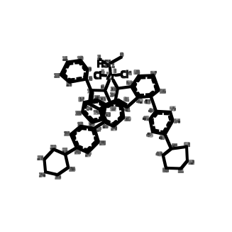 C[SiH](C)[Zr]([Cl])([Cl])([CH]1C(c2ccccc2)=Cc2c(-c3ccc(C4CCCCC4)cc3)cccc21)[CH]1C(c2ccccc2)=Cc2c(-c3ccc(C4CCCCC4)cc3)cccc21